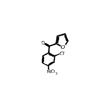 O=C(c1ccco1)c1ccc([N+](=O)[O-])cc1Cl